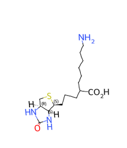 NCCCCCCC(CCC[C@@H]1SC[C@@H]2NC(=O)N[C@@H]21)C(=O)O